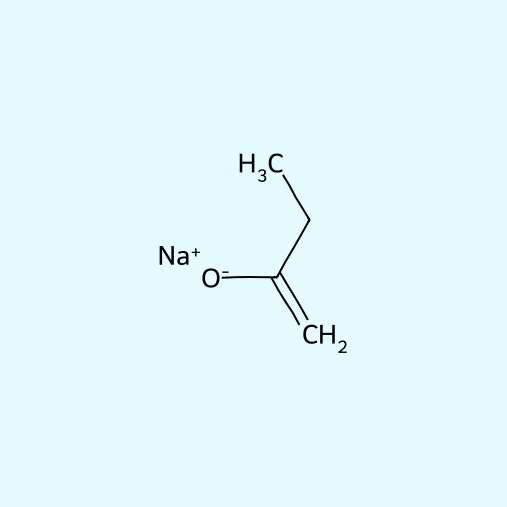 C=C([O-])CC.[Na+]